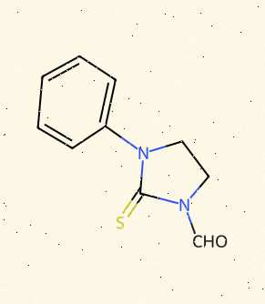 O=CN1CCN(c2ccccc2)C1=S